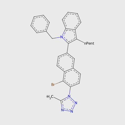 [CH2]c1nnnn1-c1ccc2cc(-c3c(CCCCC)c4ccccc4n3Cc3ccccc3)ccc2c1Br